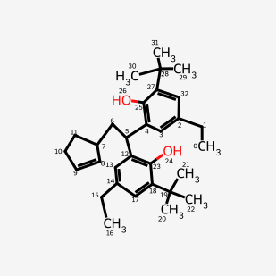 CCc1cc(C(CC2C=CCC2)c2cc(CC)cc(C(C)(C)C)c2O)c(O)c(C(C)(C)C)c1